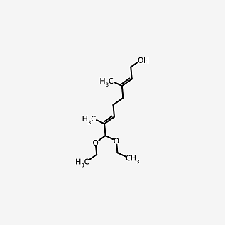 CCOC(OCC)/C(C)=C/CC/C(C)=C/CO